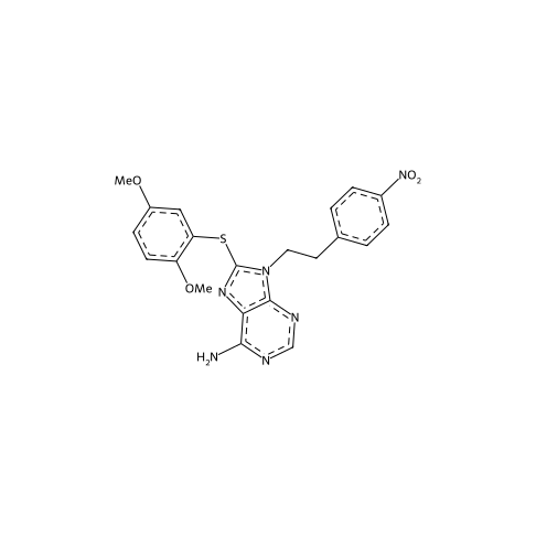 COc1ccc(OC)c(Sc2nc3c(N)ncnc3n2CCc2ccc([N+](=O)[O-])cc2)c1